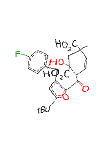 CC1(C(=O)O)C=CC(C(=O)c2oc(C(C)(C)C)cc2Cc2ccc(F)cc2)C(O)(C(=O)O)C1